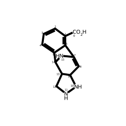 O=C(O)c1cccc2c1C1=CC3NNCC3C2N1